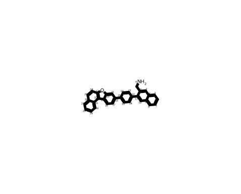 NCc1cc2ccccc2cc1-c1ccc(-c2ccc3c(c2)oc2ccc4ccccc4c23)cc1